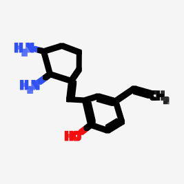 C=Cc1ccc(O)c(C=C2CCCC(N)C2N)c1